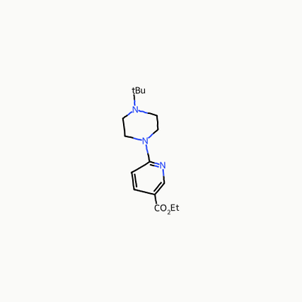 CCOC(=O)c1ccc(N2CCN(C(C)(C)C)CC2)nc1